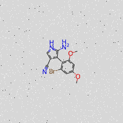 COc1cc(Br)c(-c2c(C#N)c[nH]c2N)c(OC)c1